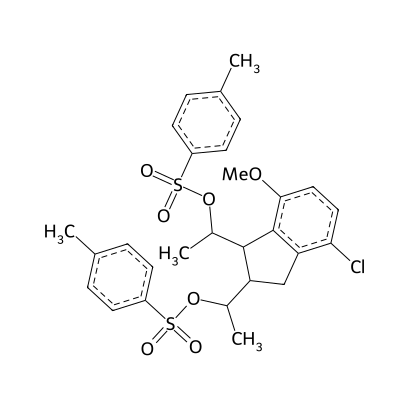 COc1ccc(Cl)c2c1C(C(C)OS(=O)(=O)c1ccc(C)cc1)C(C(C)OS(=O)(=O)c1ccc(C)cc1)C2